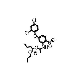 CCCOP(=O)(CCC)OC(C)Nc1cc(Oc2ccc(Cl)cc2Cl)ccc1[N+](=O)[O-]